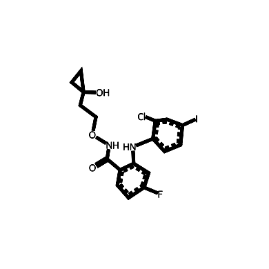 O=C(NOCCC1(O)CC1)c1ccc(F)cc1Nc1ccc(I)cc1Cl